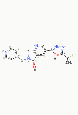 CC(F)c1nnc(-c2cnc3c(c2)C(=O)N(Cc2ccncc2)C3)o1